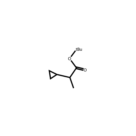 CC(C(=O)OC(C)(C)C)C1CC1